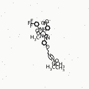 CCN1C(=O)[C@@H](NC(=O)c2cccc(C(F)(F)F)c2)[C@H](c2cccc([N+](=O)[O-])c2)c2cnn(-c3cccc(OCCCN4CCN(C(=O)OC(C)(C)C)CC4)c3)c21